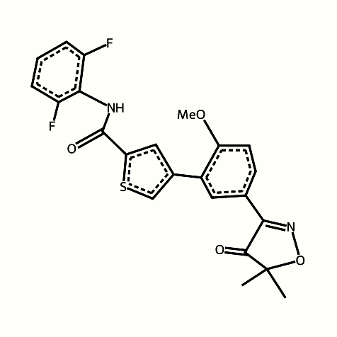 COc1ccc(C2=NOC(C)(C)C2=O)cc1-c1csc(C(=O)Nc2c(F)cccc2F)c1